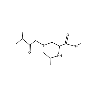 CNC(=O)C(CSCC(=O)C(C)C)NC(C)C